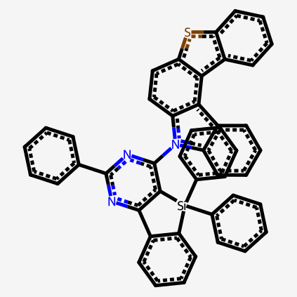 c1ccc(-c2nc3c(c(-n4c5ccccc5c5c6c(ccc54)sc4ccccc46)n2)[Si](c2ccccc2)(c2ccccc2)c2ccccc2-3)cc1